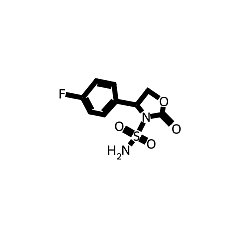 NS(=O)(=O)N1C(=O)OCC1c1ccc(F)cc1